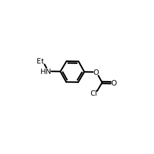 CCNc1ccc(OC(=O)Cl)cc1